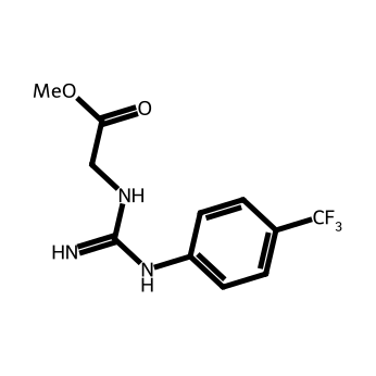 COC(=O)CNC(=N)Nc1ccc(C(F)(F)F)cc1